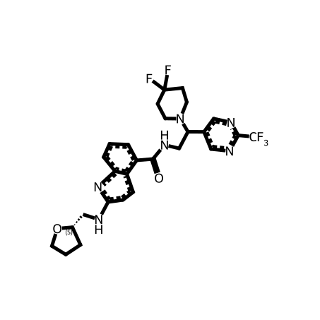 O=C(NCC(c1cnc(C(F)(F)F)nc1)N1CCC(F)(F)CC1)c1cccc2nc(NC[C@@H]3CCCO3)ccc12